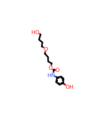 O=C(Nc1ccc(O)cc1)OCCCCOCCCCO